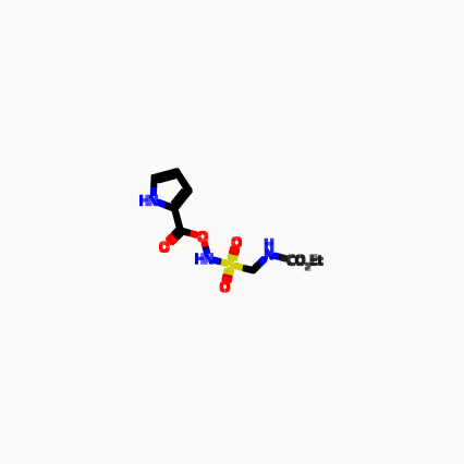 CCOC(=O)NCS(=O)(=O)NOC(=O)c1ccc[nH]1